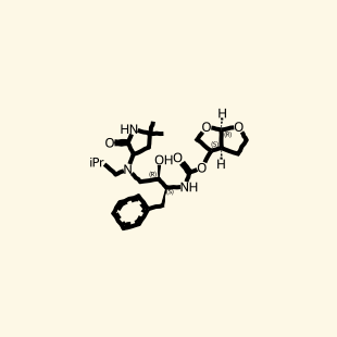 CC(C)CN(C[C@@H](O)[C@H](Cc1ccccc1)NC(=O)OC1CO[C@H]2OCC[C@@H]12)C1CC(C)(C)NC1=O